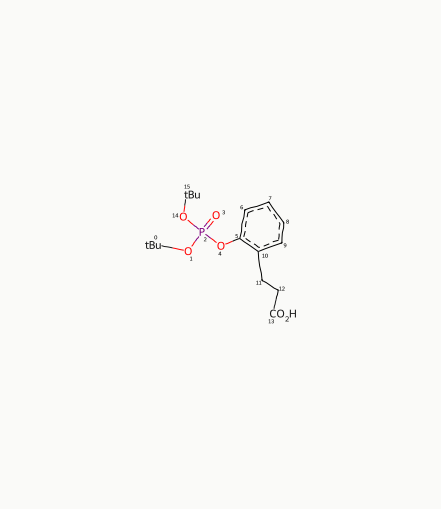 CC(C)(C)OP(=O)(Oc1ccccc1CCC(=O)O)OC(C)(C)C